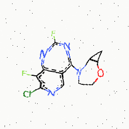 Fc1nc(N2CCOC3CC32)c2cnc(Cl)c(F)c2n1